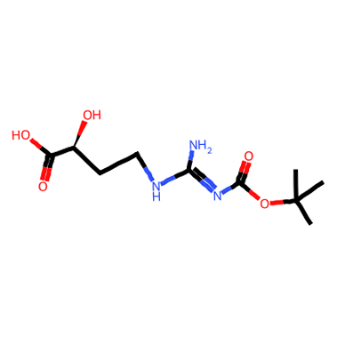 CC(C)(C)OC(=O)/N=C(\N)NCC[C@H](O)C(=O)O